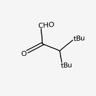 CC(C)(C)C(C(=O)C=O)C(C)(C)C